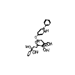 O=P(O)(O)CC[C@H]1O[C@H](OC2=CNB(c3ccccc3)C=C2)C[C@@H](O)[C@@H]1O